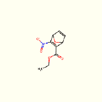 CCOC(=O)C1=C([N+](=O)[O-])C2C=CC1O2